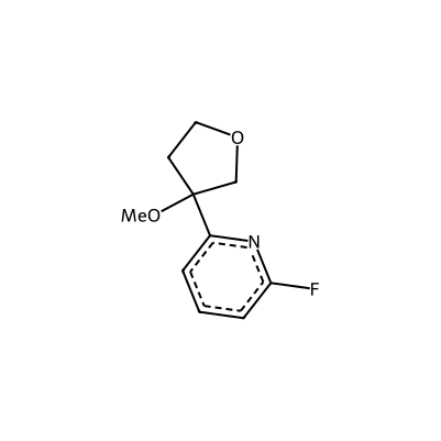 COC1(c2cccc(F)n2)CCOC1